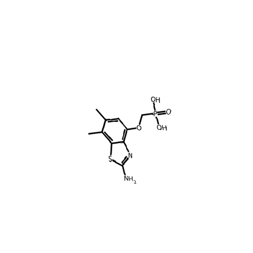 Cc1cc(OCP(=O)(O)O)c2nc(N)sc2c1C